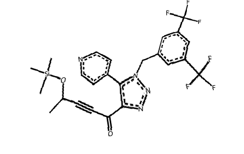 CC(C#CC(=O)c1nnn(Cc2cc(C(F)(F)F)cc(C(F)(F)F)c2)c1-c1ccncc1)O[Si](C)(C)C